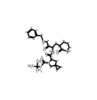 CC(C)(C)OC(=O)N1CC2(CC2)CC1C(=O)NC(CC1CCCNC1=O)C(=O)COCc1ccccc1